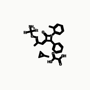 CC1CC1.CCC(N)(CC)ON=C(C)C=C1C(=O)N(c2ccccc2C)C1c1ccccc1.O=C(O)C(=O)O